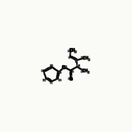 CC=C(C)C(C)C(=O)Oc1ccccc1